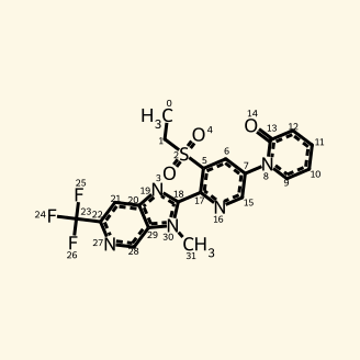 CCS(=O)(=O)c1cc(-n2ccccc2=O)cnc1-c1nc2cc(C(F)(F)F)ncc2n1C